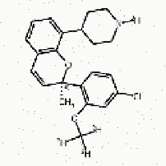 [2H]N1CCC(c2cccc3c2O[C@@](C)(c2ccc(Cl)cc2OC([2H])([2H])[2H])C=C3)CC1